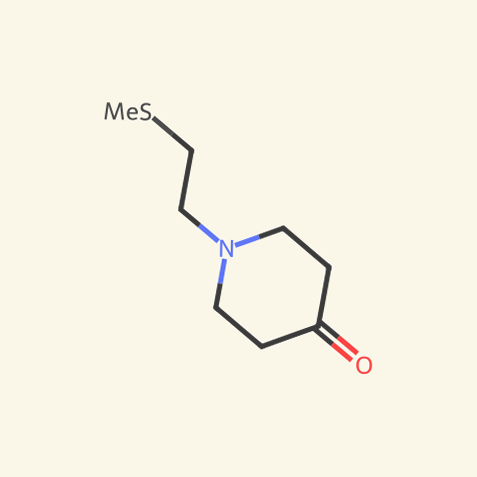 CSCCN1CCC(=O)CC1